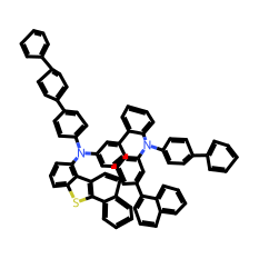 c1ccc(-c2ccc(-c3ccc(N(c4cccc(-c5ccccc5N(c5ccc(-c6ccccc6)cc5)c5cccc(-c6cccc7ccccc67)c5)c4)c4cccc5sc6c7ccccc7ccc6c45)cc3)cc2)cc1